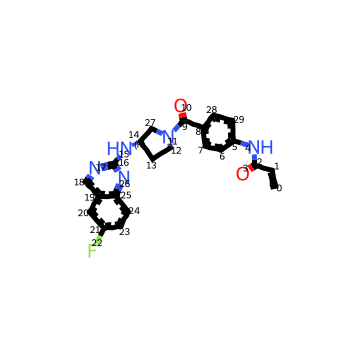 C=CC(=O)Nc1ccc(C(=O)N2CC[C@@H](Nc3ncc4cc(F)ccc4n3)C2)cc1